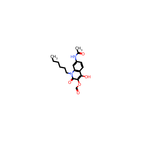 CCCCCCn1c(=O)c(OC=O)c(O)c2ccc(NC(C)=O)cc21